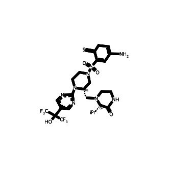 CC(C)[C@H]1C(=O)NCCN1C[C@H]1CN(S(=O)(=O)C2=CC(N)=CCC2=S)CCN1c1ncc(C(O)(C(F)(F)F)C(F)(F)F)cn1